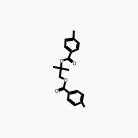 Cc1ccc(C(=O)OCC(C)(C)OC(=O)c2ccc(C)cc2)cc1